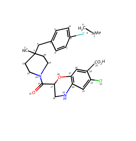 CNC.N#CC1(Cc2ccc(F)cc2)CCN(C(=O)C2CNc3cc(Cl)c(C(=O)O)cc3O2)CC1